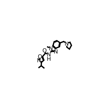 CC(C)c1cc(C(=O)Nc2nc3cc(CN4CCCC4)ccc3n2C)on1